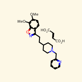 COc1ccc2c(CCC3CCN(Cc4ccccn4)CC3)noc2c1OC.O=C(O)C=CC(=O)O